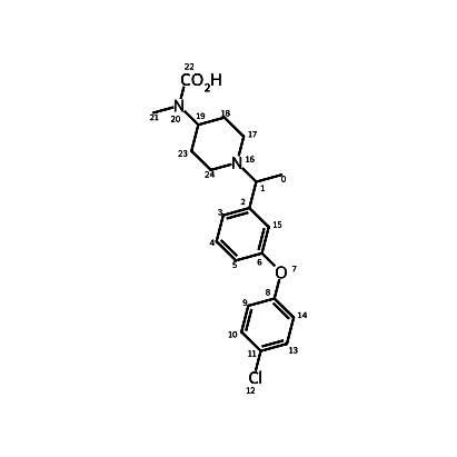 CC(c1cccc(Oc2ccc(Cl)cc2)c1)N1CCC(N(C)C(=O)O)CC1